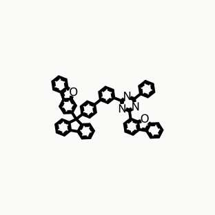 c1ccc(-c2nc(-c3cccc(-c4ccc(C5(c6ccc7c(c6)oc6ccccc67)c6ccccc6-c6ccccc65)cc4)c3)nc(-c3cccc4c3oc3ccccc34)n2)cc1